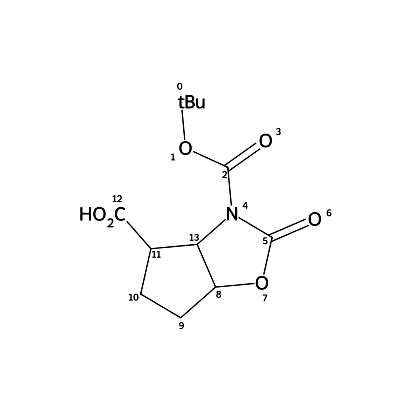 CC(C)(C)OC(=O)N1C(=O)OC2CCC(C(=O)O)C21